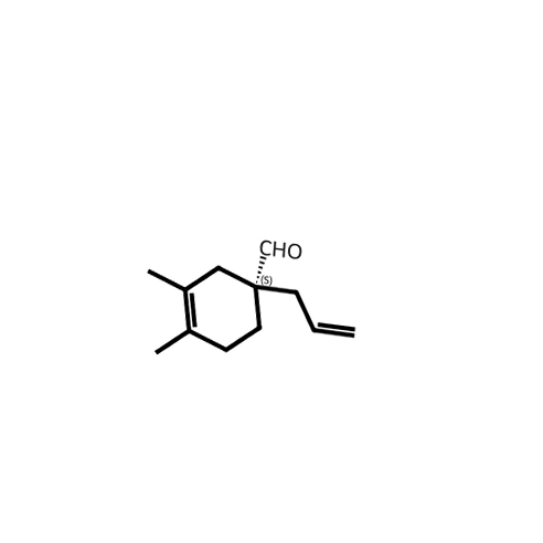 C=CC[C@@]1(C=O)CCC(C)=C(C)C1